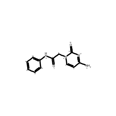 Nc1ccn(CC(=O)Nc2ccccc2)c(=O)n1